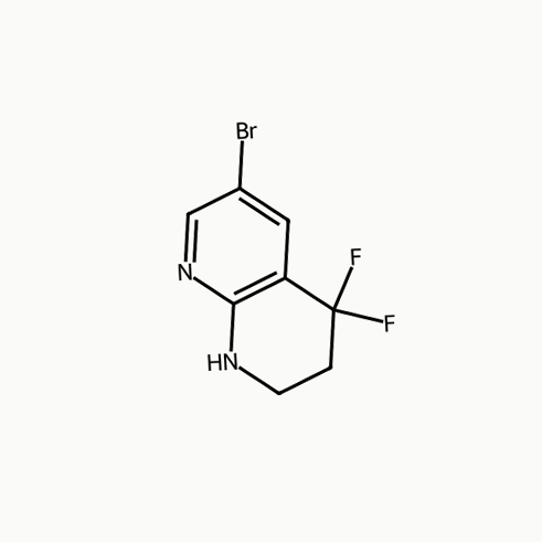 FC1(F)CCNc2ncc(Br)cc21